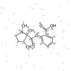 CC1CCN(C)C1(C)C(=O)Oc1ccccc1C(=O)O